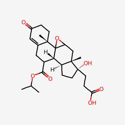 CC(C)OC(=O)C1CC2=CC(=O)CC[C@]2(C)C23OC2C[C@@]2(C)[C@@H](CC[C@]2(O)CCC(=O)O)[C@H]13